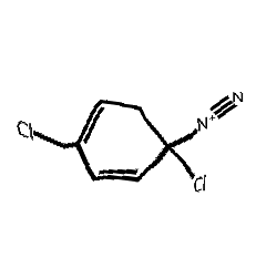 N#[N+]C1(Cl)C=CC(Cl)=CC1